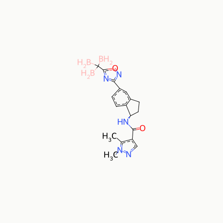 BC(B)(B)c1nc(-c2ccc3c(c2)CC[C@H]3NC(=O)c2cnn(C)c2C)no1